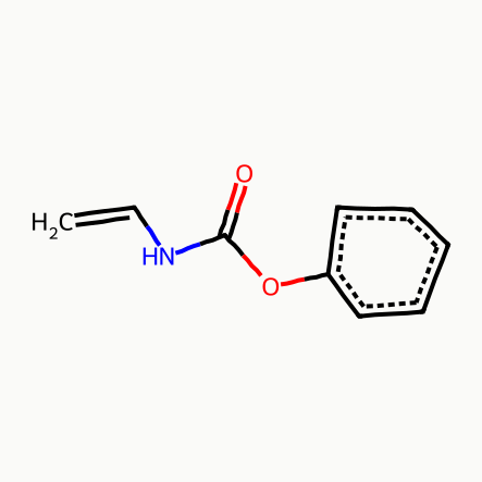 C=CNC(=O)Oc1ccccc1